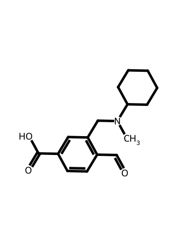 CN(Cc1cc(C(=O)O)ccc1C=O)C1CCCCC1